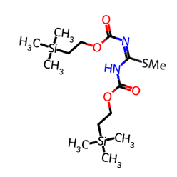 CSC(=NC(=O)OCC[Si](C)(C)C)NC(=O)OCC[Si](C)(C)C